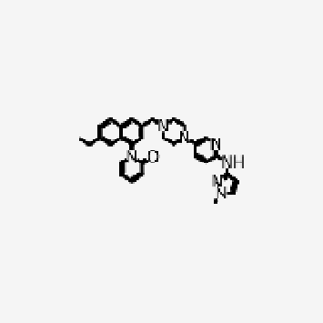 CCc1ccc2cc(CN3CCN(c4ccc(Nc5ccn(C)n5)nc4)CC3)cc(-n3ccccc3=O)c2c1